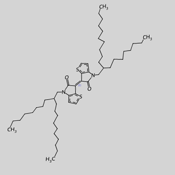 CCCCCCCCCCC(CCCCCCCC)CN1C(=O)/C(=C2/C(=O)N(CC(CCCCCCCC)CCCCCCCCCC)c3ccsc32)c2sccc21